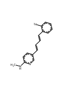 [2H]c1ccccc1C=CC=Cc1ccc(NC)nc1